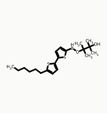 CCCCCCc1ccc(-c2ccc(BOC(C)(C)C(C)(C)O)s2)s1